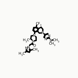 Cc1cc(C)n(CC(=O)N2CCN(c3ccc(C(F)(F)F)c4c3CN(c3cnc(N(C)C)nc3)CC4)C[C@H]2C)n1